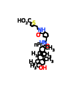 CCCC1(C(=O)NCc2cccc(C(=O)NCCc3ccc(C(=O)O)s3)c2)CC[C@]2(C)C(CCC3C4(C)CCC(O)C(C)(C)C4CCC32C)C1C